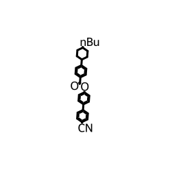 CCCCC1CCC(c2ccc(C(=O)Oc3ccc(-c4ccc(C#N)cc4)cc3)cc2)CC1